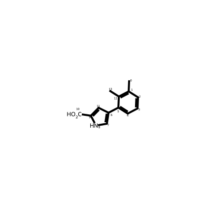 Cc1cccc(-c2c[nH]c(C(=O)O)c2)c1C